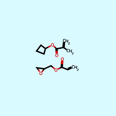 C=C(C)C(=O)OC1CCC1.C=CC(=O)OCC1CO1